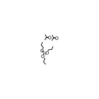 CC(C)=O.CC(C)=O.CCC[O][Ti]([O]CCC)[O]CCC